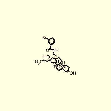 C=CC[C@]1(O)C[C@H]2[C@@H]3CC=C4C[C@@H](O)CC[C@]4(C)[C@H]3CC[C@]2(CCNC(=O)c2cccc(Br)c2)C1